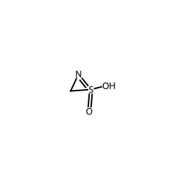 O=S1(O)=NC1